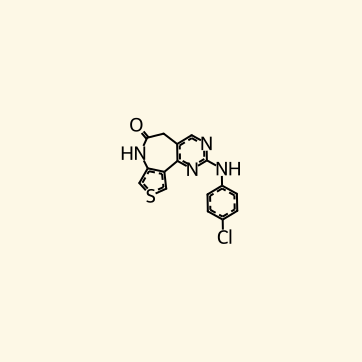 O=C1Cc2cnc(Nc3ccc(Cl)cc3)nc2-c2cscc2N1